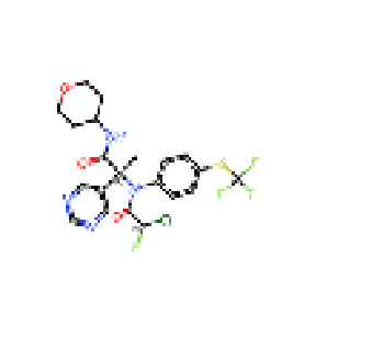 C[C@](C(=O)NC1CCOCC1)(c1cncnc1)N(C(=O)[C@H](F)Cl)c1ccc(SC(F)(F)F)cc1